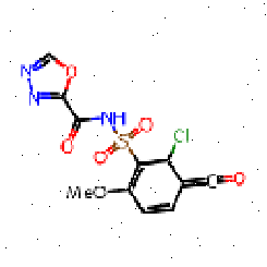 COC1=C(S(=O)(=O)NC(=O)c2nnco2)C(Cl)C(=C=O)C=C1